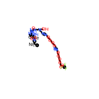 COc1cnc(-n2cnc(C(=O)NCCCN(CCO)CCCN3CCN(CCOCCOCCOCCOCc4cn(CCOCCOCCOCCOCCC(=O)Oc5c(F)cc(F)cc5F)nn4)CC3)n2)c2[nH]cc(C(=O)C(=O)N3CCC(=C(C#N)c4ccccc4)CC3)c12